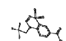 O=[N+]([O-])c1ccc2c(c1)S(=O)(=O)N=CN2CC(F)(F)F